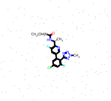 C[C@@H](NC(=O)N(C)O)c1ncc(-c2cc(Cl)cc(F)c2-c2nnn(C)n2)cc1F